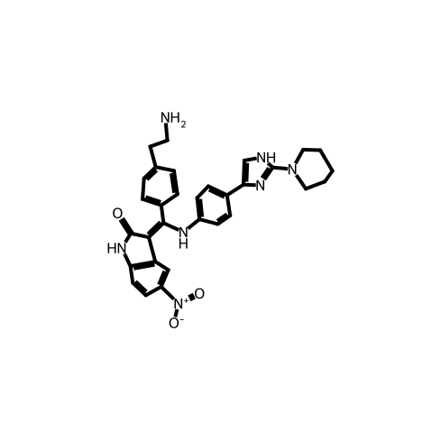 NCCc1ccc(C(Nc2ccc(-c3c[nH]c(N4CCCCC4)n3)cc2)=C2C(=O)Nc3ccc([N+](=O)[O-])cc32)cc1